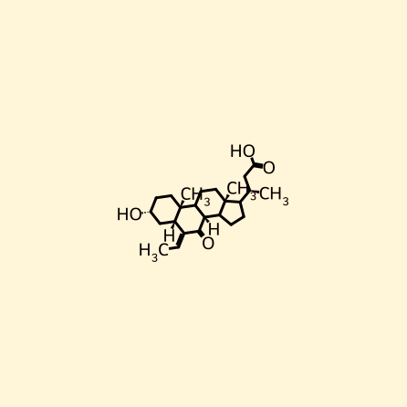 C/C=C1/C(=O)[C@H]2C3CCC([C@H](C)CC(=O)O)[C@@]3(C)CCC2[C@@]2(C)CC[C@@H](O)C[C@@H]12